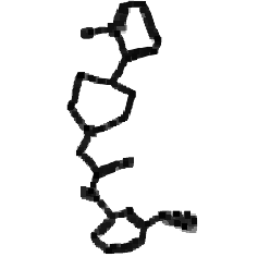 CSc1cccc(NC(=O)CN2CCC(c3cccc[n+]3[O-])CC2)c1